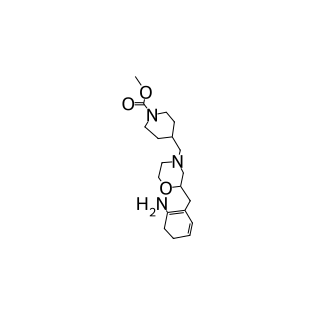 COC(=O)N1CCC(CN2CCOC(CC3=C(N)CCC=C3)C2)CC1